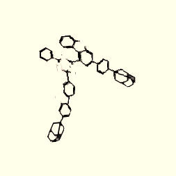 c1ccc(-c2nc(-c3ccc4c(c3)oc3cc(C56CC7CC(CC(C7)C5)C6)ccc34)nc(-c3cc(-c4ccc(C56CC7CC(CC(C7)C5)C6)cc4)cc4oc5ccccc5c34)n2)cc1